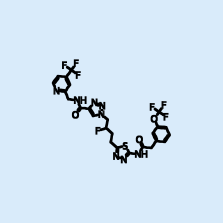 O=C(Cc1cccc(OC(F)(F)F)c1)Nc1nnc(CCC(F)Cn2cc(C(=O)NCc3cc(C(F)(F)F)ccn3)nn2)s1